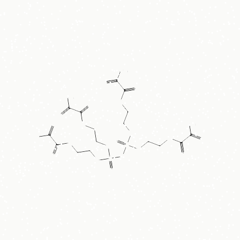 C=C(C)C(=O)OCCOP(=O)(OCCOC(=O)C(=C)C)OP(=O)(OCCOC(=O)C(=C)C)OCCOC(=O)C(=C)C